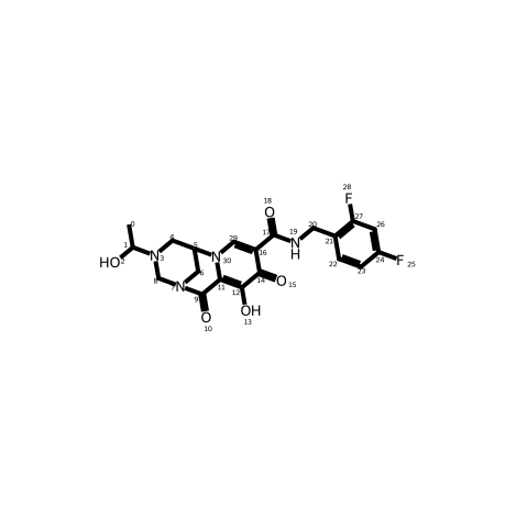 CC(O)N1CC2CN(C1)C(=O)c1c(O)c(=O)c(C(=O)NCc3ccc(F)cc3F)cn12